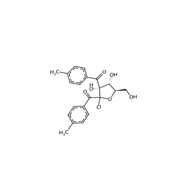 Cc1ccc(C(=O)C2(Cl)O[C@H](CO)[C@@H](O)[C@]2(O)C(=O)c2ccc(C)cc2)cc1